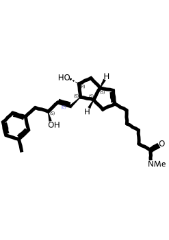 CNC(=O)CCCCC1=C[C@H]2C[C@@H](O)[C@H](/C=C/[C@@H](O)Cc3cccc(C)c3)[C@H]2C1